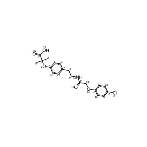 CC(C)(Oc1ccc(CCNC(=O)COc2ccc(Cl)cc2)cc1)C(=O)O